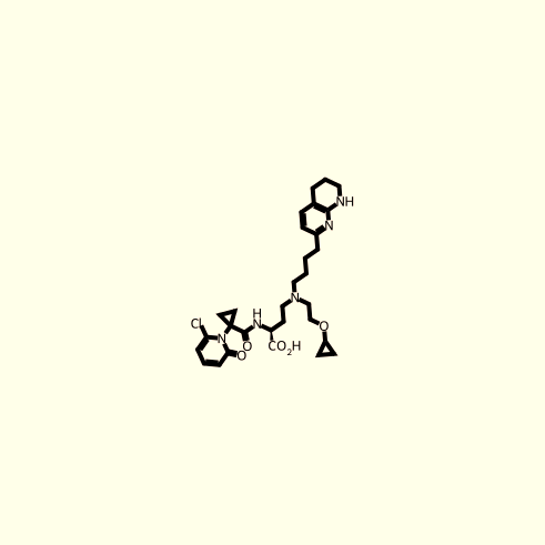 O=C(O)[C@H](CCN(CCCCc1ccc2c(n1)NCCC2)CCOC1CC1)NC(=O)C1(n2c(Cl)cccc2=O)CC1